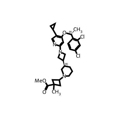 COC(=O)C1(C)CC(N2CCC[C@H](C3CN(c4cc(O[C@H](C)c5ccc(Cl)cc5Cl)c(C5CC5)cn4)C3)C2)C1